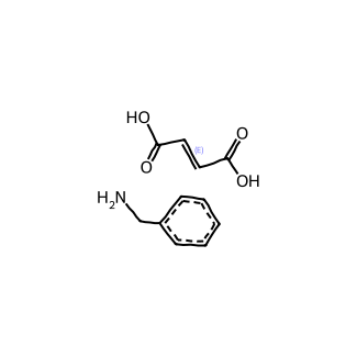 NCc1ccccc1.O=C(O)/C=C/C(=O)O